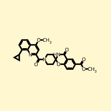 COC(=O)c1ccc2c(c1)C(=O)NC1(CCN(C(=O)c3cc(OC)c4cccc(C5CC5)c4n3)CC1)O2